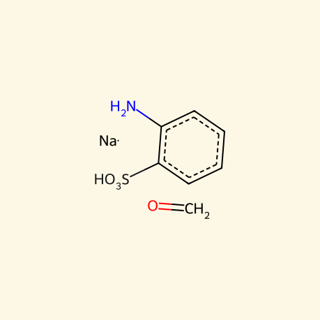 C=O.Nc1ccccc1S(=O)(=O)O.[Na]